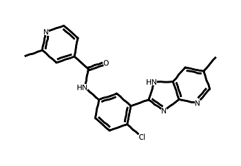 Cc1cnc2nc(-c3cc(NC(=O)c4ccnc(C)c4)ccc3Cl)[nH]c2c1